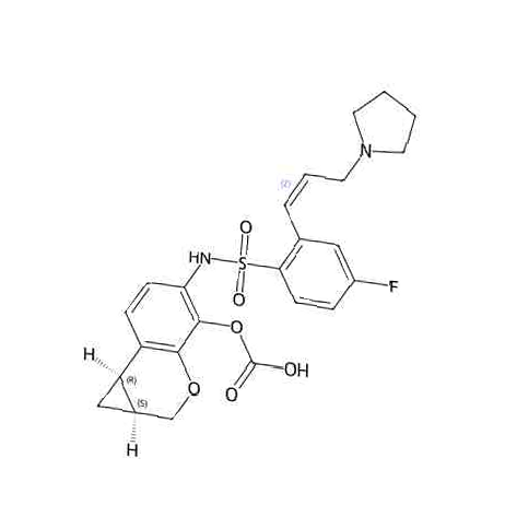 O=C(O)Oc1c(NS(=O)(=O)c2ccc(F)cc2/C=C\CN2CCCC2)ccc2c1OC[C@H]1C[C@@H]21